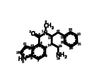 CN(C(=O)c1cccc2[nH]ccc12)C(CCN)Cc1ccccc1